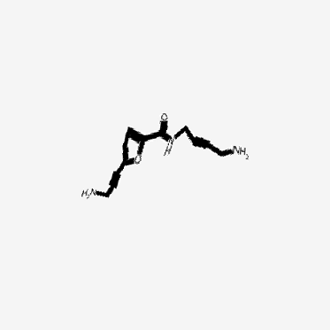 NCC#CCNC(=O)c1ccc(C#CCN)o1